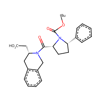 CC(C)(C)OC(=O)N1[C@@H](C(=O)N2Cc3ccccc3C[C@@H]2CC(=O)O)CC[C@H]1c1ccccc1